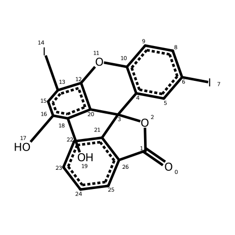 O=C1OC2(c3cc(I)ccc3Oc3c(I)cc(O)c(O)c32)c2ccccc21